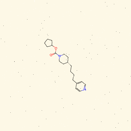 O=C(OC1CCCC1)N1CCC(CCCCc2ccncc2)CC1